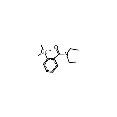 CCN(CC)C(=O)c1cccc[c]1[Ge]([CH3])([CH3])[CH3]